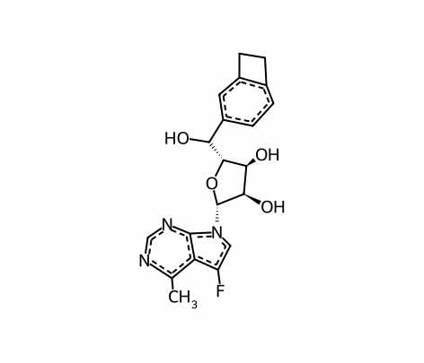 Cc1ncnc2c1c(F)cn2[C@@H]1O[C@H](C(O)c2ccc3c(c2)CC3)[C@@H](O)[C@H]1O